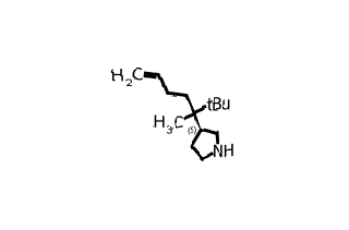 C=CCCC(C)([C@@H]1CCNC1)C(C)(C)C